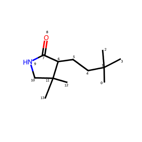 CC(C)(C)CCC1C(=O)NCC1(C)C